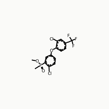 COP(C)(=O)c1cc(Oc2ccc(C(F)(F)F)cc2Cl)ccc1Cl